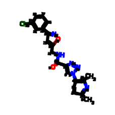 Cc1ccc(-n2cc(C(=O)NCc3cc(-c4cccc(Cl)c4)no3)nn2)c(C)n1